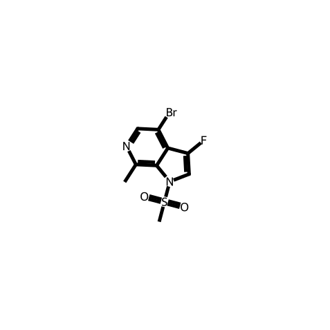 Cc1ncc(Br)c2c(F)cn(S(C)(=O)=O)c12